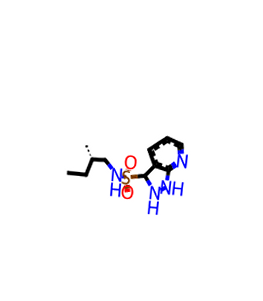 CC[C@H](C)CNS(=O)(=O)C1NNc2ncccc21